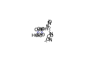 Cc1cc(CN2CCC(CCc3noc4c(CN(C)C)c(OCC(C)C)ccc34)CC2)no1.O=C(O)/C=C/C(=O)O.O=C(O)/C=C/C(=O)O